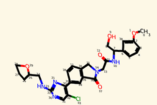 COc1cccc(C(CO)NC(=O)CN2Cc3ccc(-c4nc(NCC5CCCO5)ncc4Cl)cc3C2=O)c1